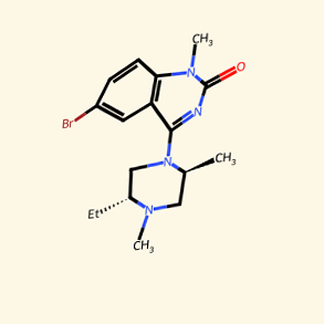 CC[C@@H]1CN(c2nc(=O)n(C)c3ccc(Br)cc23)[C@@H](C)CN1C